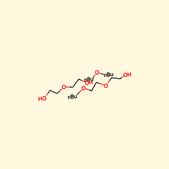 CCCCOCCCC.CCCCOCCOCCO.OCCOCCO